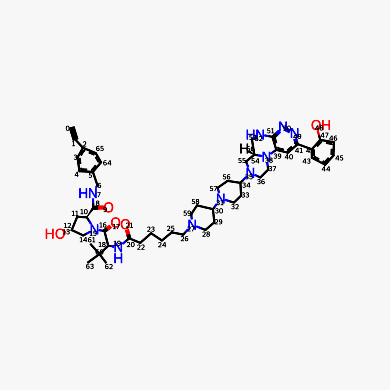 C#Cc1ccc(CNC(=O)[C@@H]2C[C@@H](O)CN2C(=O)[C@@H](NC(=O)CCCCCN2CCC(N3CCC(N4CCN5c6cc(-c7ccccc7O)nnc6NC[C@H]5C4)CC3)CC2)C(C)(C)C)cc1